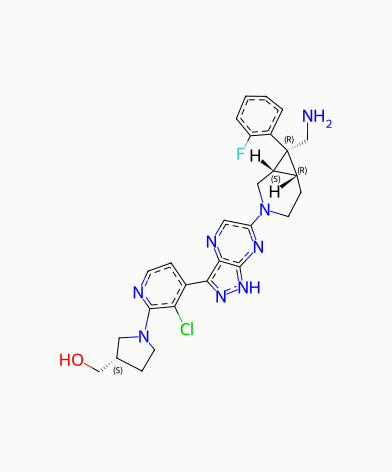 NC[C@]1(c2ccccc2F)[C@@H]2CCN(c3cnc4c(-c5ccnc(N6CC[C@H](CO)C6)c5Cl)n[nH]c4n3)C[C@@H]21